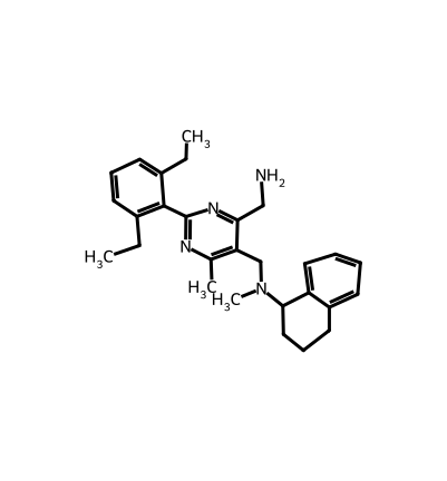 CCc1cccc(CC)c1-c1nc(C)c(CN(C)C2CCCc3ccccc32)c(CN)n1